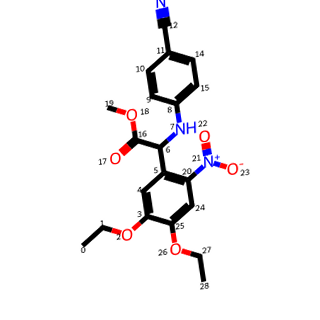 CCOc1cc(C(Nc2ccc(C#N)cc2)C(=O)OC)c([N+](=O)[O-])cc1OCC